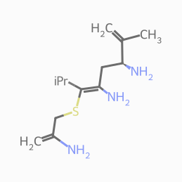 C=C(N)CS/C(=C(\N)C[C@H](N)C(=C)C)C(C)C